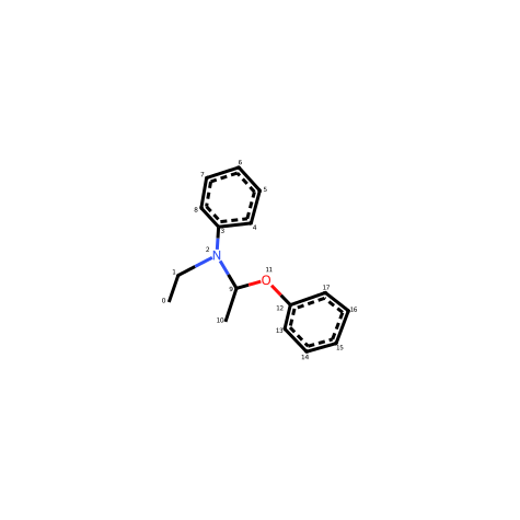 CCN(c1ccccc1)C(C)Oc1ccccc1